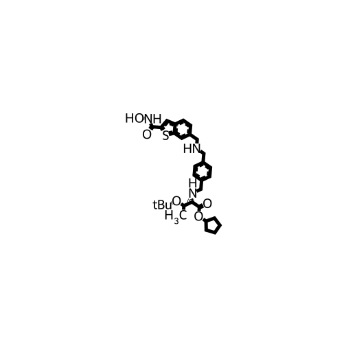 CC(OC(C)(C)C)[C@H](NCc1ccc(CNCc2ccc3cc(C(=O)NO)sc3c2)cc1)C(=O)OC1CCCC1